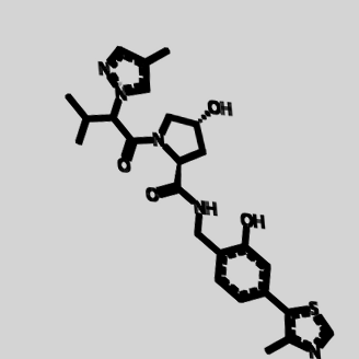 Cc1cnn(C(C(=O)N2C[C@H](O)C[C@H]2C(=O)NCc2ccc(-c3scnc3C)cc2O)C(C)C)c1